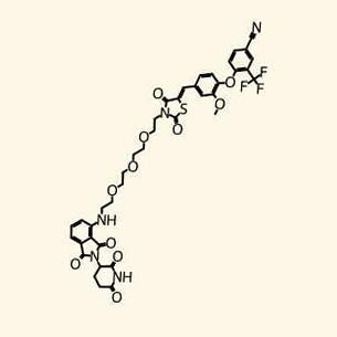 COc1cc(C=C2SC(=O)N(CCOCCOCCOCCNc3cccc4c3C(=O)N(C3CCC(=O)NC3=O)C4=O)C2=O)ccc1Oc1ccc(C#N)cc1C(F)(F)F